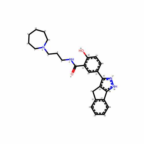 O=C(NCCCN1CCCCCC1)c1cc(-c2n[nH]c3c2Cc2ccccc2-3)ccc1O